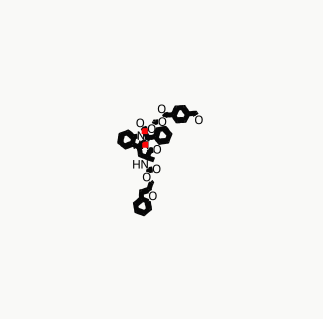 CC(NC(=O)C(C)(Cc1cn(C(=O)OCOC(=O)c2ccc(C=O)cc2)c2ccccc12)NC(=O)OCc1cc2ccccc2o1)c1ccccc1